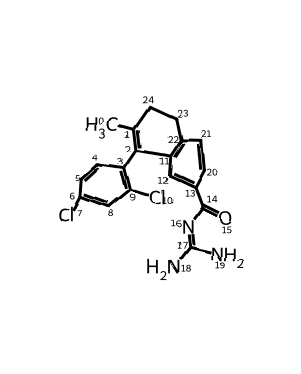 CC1=C(c2ccc(Cl)cc2Cl)c2cc(C(=O)N=C(N)N)ccc2CC1